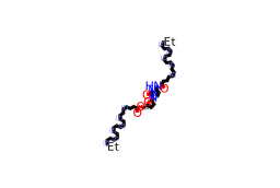 CC/C=C\C/C=C\C/C=C\C/C=C\C/C=C\C/C=C\CCC(=O)OC[C@@H]1CCC(n2ccc(NC(=O)CCC/C=C\C/C=C\C/C=C\C/C=C\C/C=C\CC)nc2=O)O1